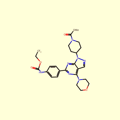 COC(=O)N1CCC(n2ncc3c(N4CCOCC4)nc(-c4ccc(NC(=O)OCC(F)(F)F)cc4)nc32)CC1